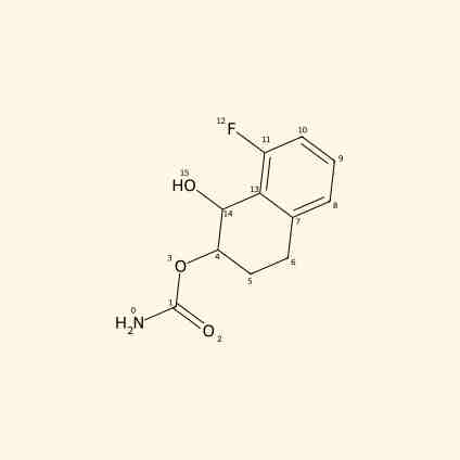 NC(=O)OC1CCc2cccc(F)c2C1O